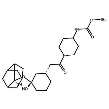 CC(C)(C)OC(=O)NC1CCN(C(=O)C[C@@H]2CCC[C@](O)(O[C@@]3(O)C4CC5CC(C4)C3C5)C2)CC1